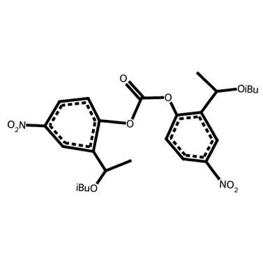 CC(C)COC(C)c1cc([N+](=O)[O-])ccc1OC(=O)Oc1ccc([N+](=O)[O-])cc1C(C)OCC(C)C